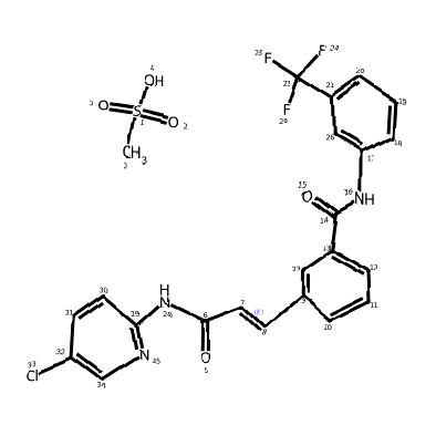 CS(=O)(=O)O.O=C(/C=C/c1cccc(C(=O)Nc2cccc(C(F)(F)F)c2)c1)Nc1ccc(Cl)cn1